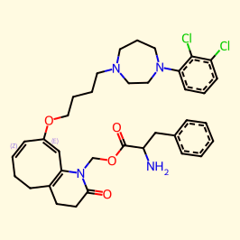 NC(Cc1ccccc1)C(=O)OCN1C(=O)CCC2=C1/C=C(OCCCCN1CCCN(c3cccc(Cl)c3Cl)CC1)\C=C/CC2